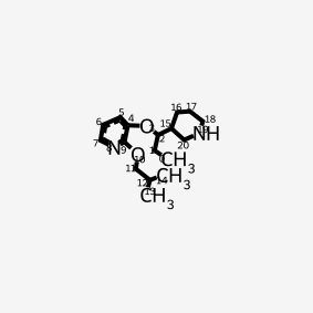 CCC(Oc1cccnc1OCC(C)C)C1CCCNC1